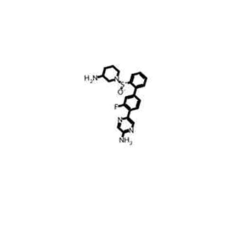 Nc1cnc(-c2ccc(-c3ccccc3[S+]([O-])N3CCCC(N)C3)cc2F)cn1